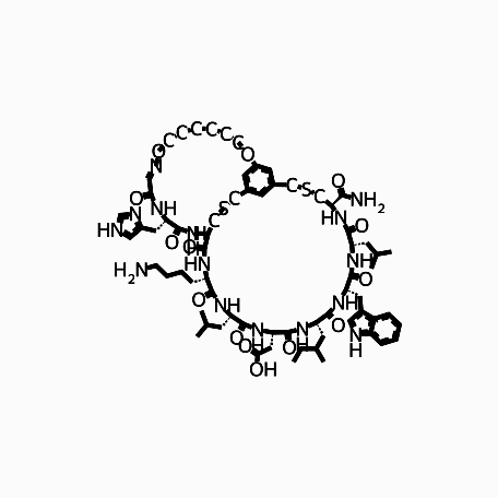 CCC(C)C[C@@H]1NC(=O)[C@H](CC(=O)O)NC(=O)[C@H](CC(C)C)NC(=O)[C@H](CCCCN)NC(=O)[C@@H]2CSCc3cc(cc(c3)OCCCCCCO/N=C/C(=O)N[C@@H](Cc3c[nH]cn3)C(=O)N2)CSC[C@@H](C(N)=O)NC(=O)[C@H](CC(C)C)NC(=O)[C@H](Cc2c[nH]c3ccccc23)NC1=O